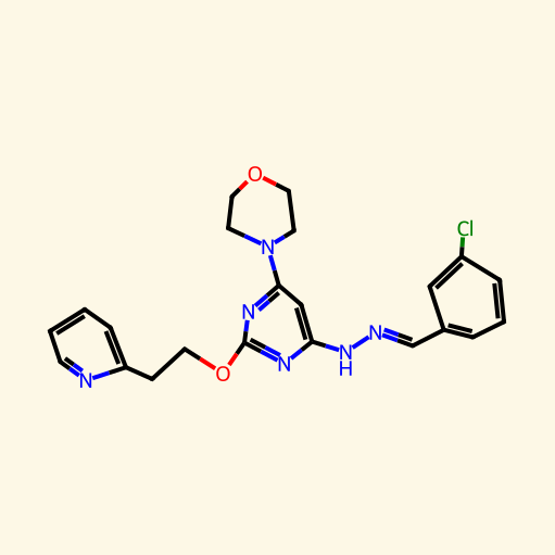 Clc1cccc(C=NNc2cc(N3CCOCC3)nc(OCCc3ccccn3)n2)c1